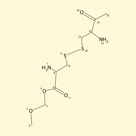 COCOC(=O)C(N)CSSCC(N)C(C)=O